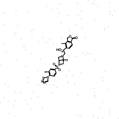 Cc1cc(S(=O)(=O)N2C[C@@H]3C2CN3C[C@H](O)c2ccc3c(c2C)COC3=O)ccc1-n1cnnn1